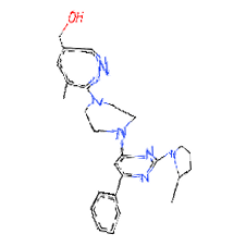 Cc1cc(CO)cnc1N1CCN(c2cc(-c3ccccc3)nc(N3CCCC3C)n2)CC1